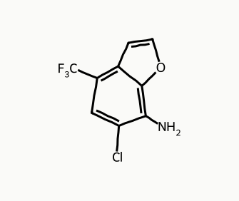 Nc1c(Cl)cc(C(F)(F)F)c2ccoc12